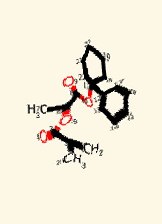 C=C(C)C(=O)OC(C)C(=O)OC1(c2ccccc2)CCCCC1